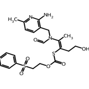 C/C(=C(\CCO)SC(=O)OCCS(=O)(=O)c1ccccc1)N(C=O)Cc1ccc(C)nc1N